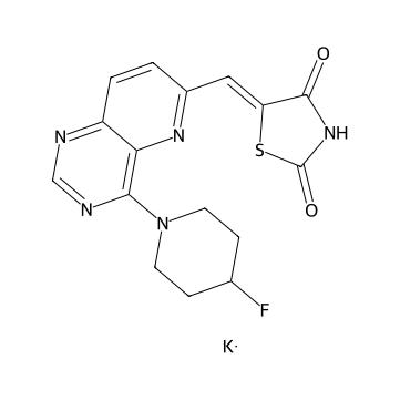 O=C1NC(=O)C(=Cc2ccc3ncnc(N4CCC(F)CC4)c3n2)S1.[K]